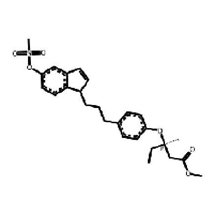 CC[C@](C)(CC(=O)OC)Oc1ccc(CCCC2C=Cc3cc(OS(C)(=O)=O)ccc32)cc1